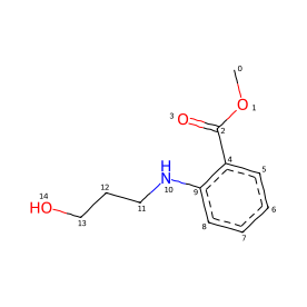 COC(=O)c1ccccc1NCCCO